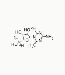 [2H]C1=NC(N)=NC(=C)N1[C@@H]1O[C@H](C([2H])([2H])O)[C@H](O)C1O